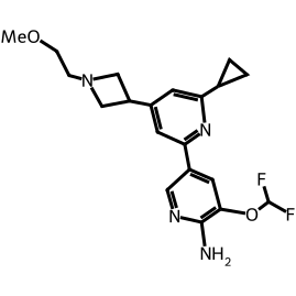 COCCN1CC(c2cc(-c3cnc(N)c(OC(F)F)c3)nc(C3CC3)c2)C1